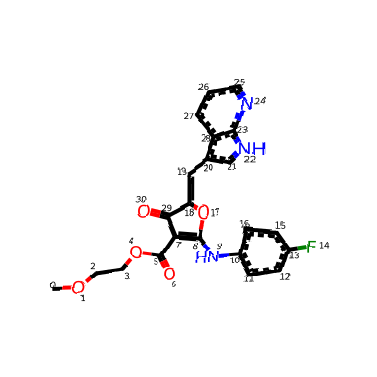 COCCOC(=O)C1=C(Nc2ccc(F)cc2)O/C(=C\c2c[nH]c3ncccc23)C1=O